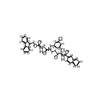 O=C(CCN(Cc1cc(Cl)cc(Cl)c1)C(=O)CNC(=O)OCC1c2ccccc2-c2ccccc21)CNC(=O)c1ccc2ccccc2c1